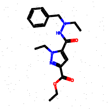 CCOC(=O)c1cc(C(=O)NN(CC)Cc2ccccc2)n(CC)n1